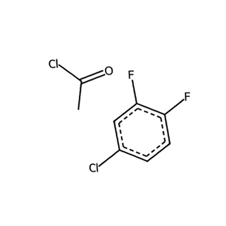 CC(=O)Cl.Fc1ccc(Cl)cc1F